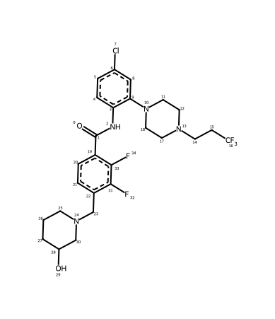 O=C(Nc1ccc(Cl)cc1N1CCN(CCC(F)(F)F)CC1)c1ccc(CN2CCCC(O)C2)c(F)c1F